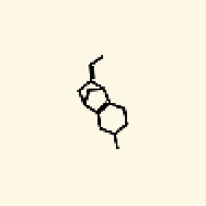 CC=C1CC2CC1C1=C2CC(C)CC1